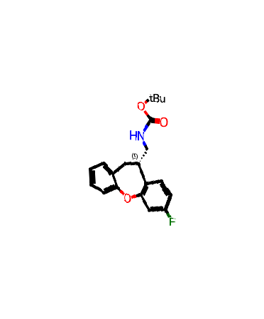 CC(C)(C)OC(=O)NC[C@H]1Cc2ccccc2Oc2cc(F)ccc21